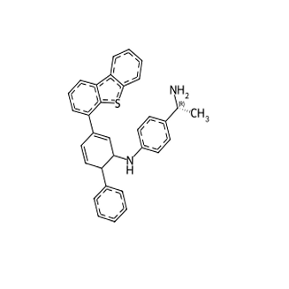 C[C@@H](N)c1ccc(NC2C=C(c3cccc4c3sc3ccccc34)C=CC2c2ccccc2)cc1